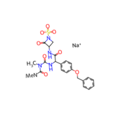 CNC(=O)N(C)C(=O)NC(C(=O)NC1CN(S(=O)(=O)[O-])C1=O)c1ccc(OCc2ccccc2)cc1.[Na+]